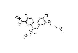 COCCCOc1cc2c(cc1Cl)-c1cc(=O)c(C(=O)N=O)cn1C(C(C)(C)COC)C2